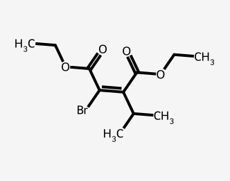 CCOC(=O)/C(Br)=C(\C(=O)OCC)C(C)C